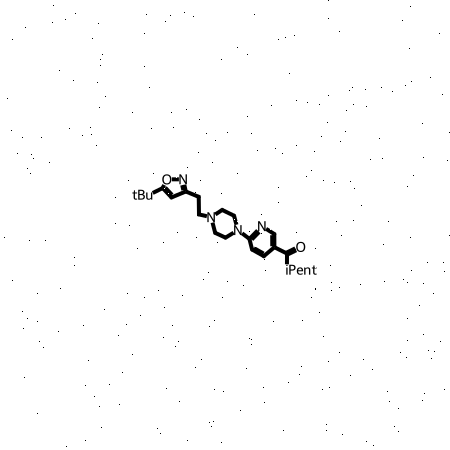 CCCC(C)C(=O)c1ccc(N2CCN(CCc3cc(C(C)(C)C)on3)CC2)nc1